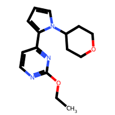 CCOc1nccc(-c2cccn2C2CCOCC2)n1